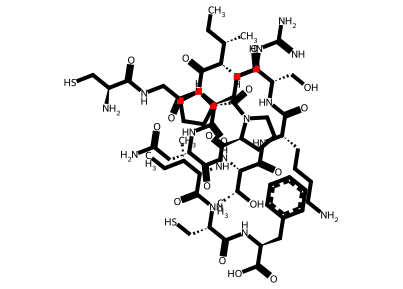 CC[C@H](C)[C@H](NC(=O)[C@@H]1CCCN1C(=O)[C@@H]1CCCN1C(=O)[C@@H](NC(=O)[C@H](CO)NC(=O)[C@H](CCCCN)NC(=O)[C@@H](NC(=O)[C@H](CC(N)=O)NC(=O)[C@H](CCCNC(=N)N)NC(=O)CNC(=O)[C@@H](N)CS)[C@@H](C)O)[C@@H](C)CC)C(=O)N[C@@H](CS)C(=O)N[C@@H](Cc1ccccc1)C(=O)O